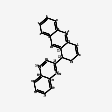 C1=Cc2nc3ccccc3cc2C(c2cnc3ccccc3n2)C1